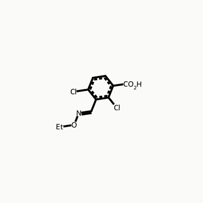 CCON=Cc1c(Cl)ccc(C(=O)O)c1Cl